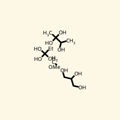 CC(O)C(C)(O)O.CCC(O)(O)O.COC.OCC(O)CO